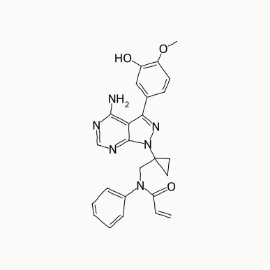 C=CC(=O)N(CC1(n2nc(-c3ccc(OC)c(O)c3)c3c(N)ncnc32)CC1)c1ccccc1